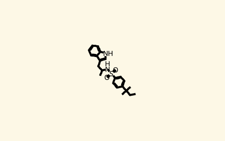 CCC(C)(C)c1ccc(S(=O)(=O)NC(C)Cc2c[nH]c3ccccc23)cc1